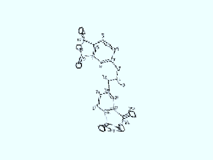 CC(Cc1ccc2c(c1)C(=O)OC2=O)Cc1ccc2c(c1)C(=O)OC2=O